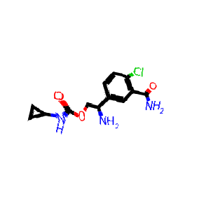 NC(=O)c1cc(C(N)COC(=O)NC2CC2)ccc1Cl